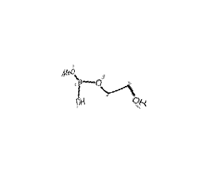 COB(O)OCCO